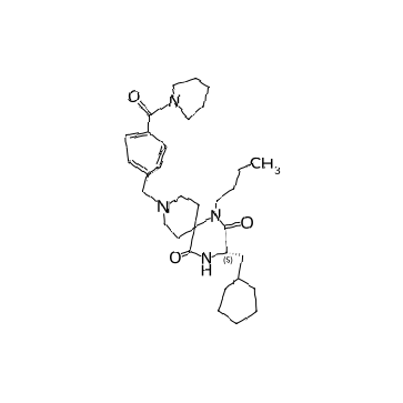 CCCCN1C(=O)[C@H](CC2CCCCC2)NC(=O)C12CCN(Cc1ccc(C(=O)N3CCCCC3)cc1)CC2